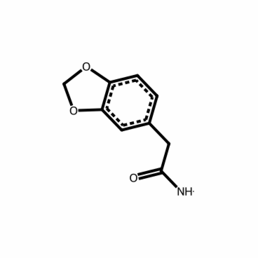 [NH]C(=O)Cc1ccc2c(c1)OCO2